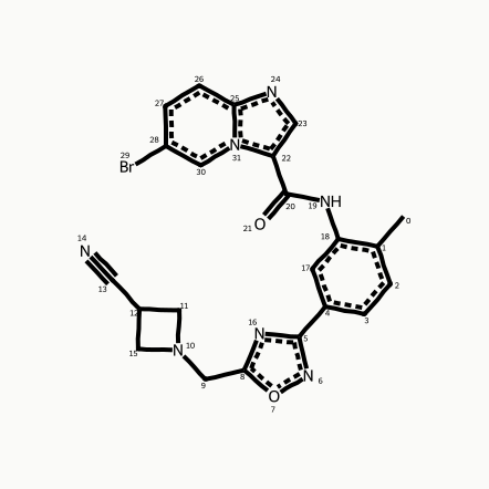 Cc1ccc(-c2noc(CN3CC(C#N)C3)n2)cc1NC(=O)c1cnc2ccc(Br)cn12